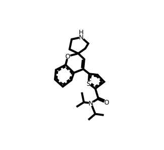 CC(C)N(C(=O)c1ccc(C2=CC3(CCNCC3)Oc3ccccc32)s1)C(C)C